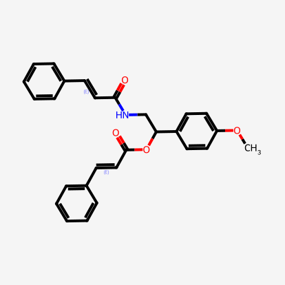 COc1ccc(C(CNC(=O)/C=C/c2ccccc2)OC(=O)/C=C/c2ccccc2)cc1